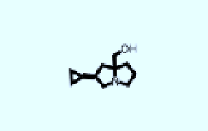 OCC12CCCN1CC(=C1CC1)C2